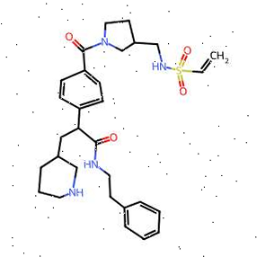 C=CS(=O)(=O)NCC1CCN(C(=O)c2ccc(C(CC3CCCNC3)C(=O)NCCc3ccccc3)cc2)C1